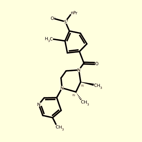 CCC[S+]([O-])c1ccc(C(=O)N2CCN(c3cncc(C)c3)[C@@H](C)[C@@H]2C)cc1C